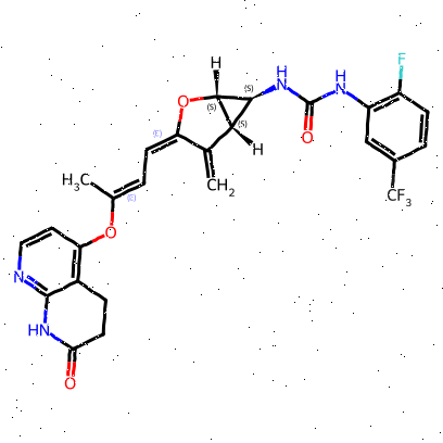 C=C1/C(=C\C=C(/C)Oc2ccnc3c2CCC(=O)N3)O[C@@H]2[C@@H](NC(=O)Nc3cc(C(F)(F)F)ccc3F)[C@H]12